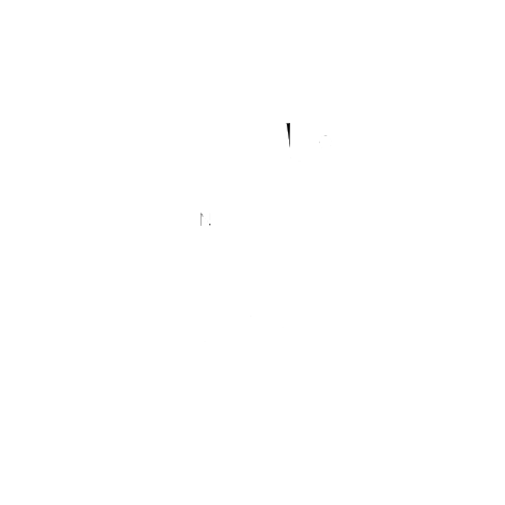 C[C@]12CC=C(N(c3ccccc3)c3cccc(-c4ccccc4)c3)C=C1c1ccccc1O2